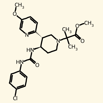 COC(=O)C(C)(C)N1CC[C@@H](NC(=O)Nc2ccc(Cl)cc2)[C@H](c2ccc(OC)cn2)C1